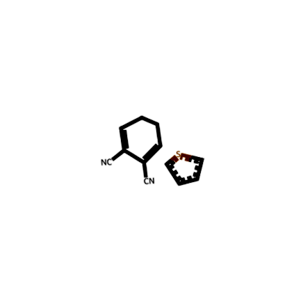 N#CC1=CCCC=C1C#N.c1ccsc1